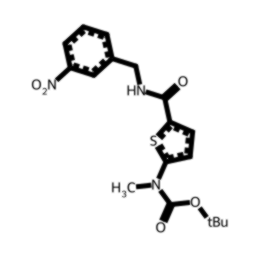 CN(C(=O)OC(C)(C)C)c1ccc(C(=O)NCc2cccc([N+](=O)[O-])c2)s1